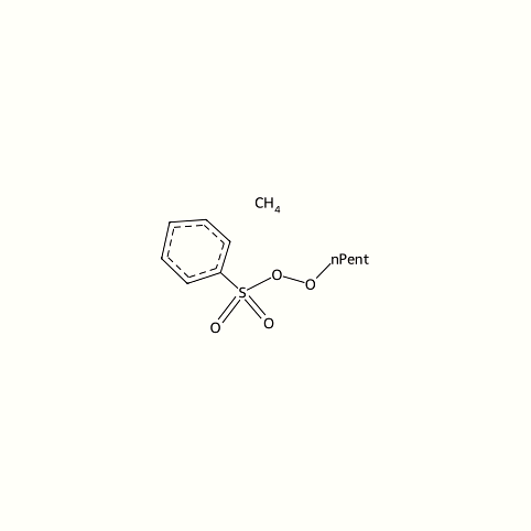 C.CCCCCOOS(=O)(=O)c1ccccc1